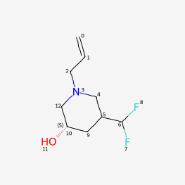 C=CCN1CC(C(F)F)C[C@H](O)C1